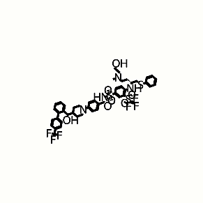 CN(CCO)CC[C@H](CSc1ccccc1)Nc1ccc(S(=O)(=O)NC(=O)c2ccc(N3CCC([C@@H](O)c4ccccc4-c4ccc(C(F)(F)F)cc4)CC3)cc2)cc1S(=O)(=O)C(F)(F)F